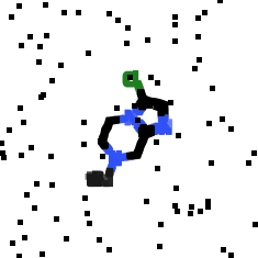 CC(C)(C)N1CCn2c(Cl)cnc2C1